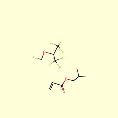 C=CC(=O)OCC(C)C.FCOC(C(F)(F)F)C(F)(F)F